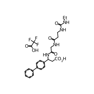 CCNC(=O)NCCC(=O)NCC(=O)NC(CC(=O)O)c1ccc(-c2ccccc2)cc1.O=C(O)C(F)(F)F